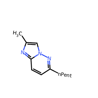 CCCCCc1ccc2nc(C)cn2n1